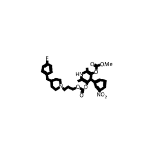 COC(=O)OC1=C(C)NC(C)=C(OC(=O)OCCCN2CCC(Cc3ccc(F)cc3)CC2)C1c1cccc([N+](=O)[O-])c1